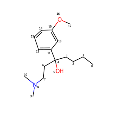 CCCCC(O)(CCN(C)C)c1cccc(OC)c1